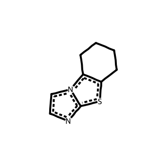 c1cn2c3c(sc2n1)CCCC3